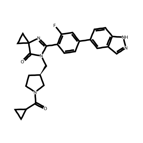 O=C(C1CC1)N1CC[C@@H](CN2C(=O)C3(CC3)N=C2c2ccc(-c3ccc4[nH]ncc4c3)cc2F)C1